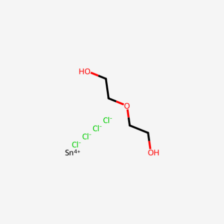 OCCOCCO.[Cl-].[Cl-].[Cl-].[Cl-].[Sn+4]